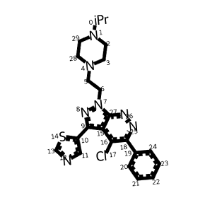 CC(C)N1CCN(CCn2nc(-c3cncs3)c3c(Cl)c(-c4ccccc4)nnc32)CC1